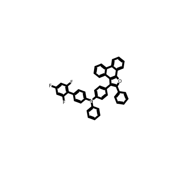 Fc1cc(F)c(-c2ccc(N(c3ccccc3)c3ccc(-c4c(-c5ccccc5)oc5c6ccccc6c6ccccc6c45)cc3)cc2)c(F)c1